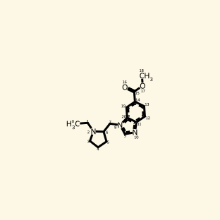 CCN1CCCC1Cn1cnc2ccc(C(=O)OC)cc21